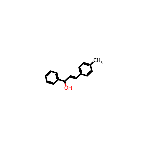 Cc1ccc(C=CC(O)c2ccccc2)cc1